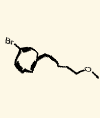 COCCC=Cc1cccc(Br)c1